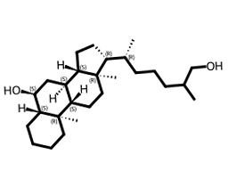 CC(CO)CCC[C@@H](C)[C@H]1CC[C@H]2[C@@H]3C[C@H](O)[C@H]4CCCC[C@]4(C)[C@H]3CC[C@]12C